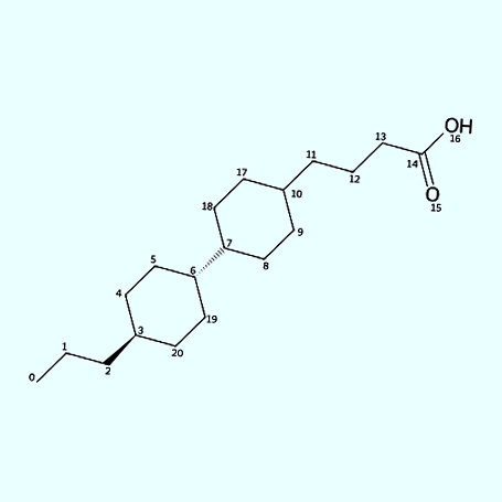 CCC[C@H]1CC[C@H](C2CCC(CCCC(=O)O)CC2)CC1